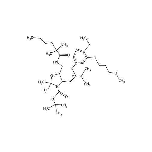 CCCCC(C)(C)C(=O)NCC1OC(C)(C)N(C(=O)OC(C)(C)C)C1C[C@@H](Cc1ccc(CC)c(OCCCOC)c1)C(C)C